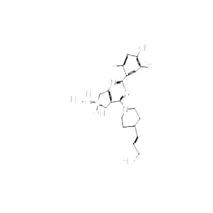 Cl.OCC=CC1CCN(c2nc(-c3cc(F)c(Cl)cc3F)nc3c2CS(O)(O)C3)CC1